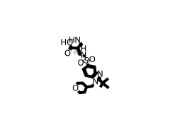 CC(C)(C)c1nc2cc(S(=O)(=O)N/C=C(\C=N)C(=O)O)ccc2n1CC1CCOCC1